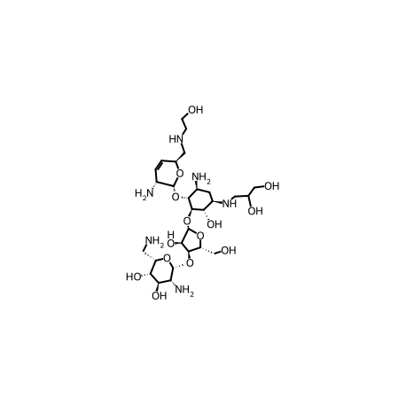 NC[C@@H]1O[C@H](O[C@H]2[C@@H](O)[C@H](O[C@@H]3[C@@H](O)[C@H](NCC(O)CO)C[C@H](N)[C@H]3O[C@H]3O[C@H](CNCCO)C=C[C@H]3N)O[C@@H]2CO)[C@H](N)[C@@H](O)[C@@H]1O